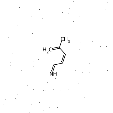 C=C(C)/C=C\C=N